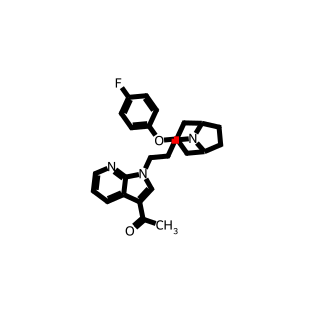 CC(=O)c1cn(CCCN2C3CCC2CC(Oc2ccc(F)cc2)C3)c2ncccc12